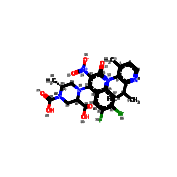 Cc1ccnc(C(C)C)c1-n1c(=O)c([N+](=O)[O-])c(N2C[C@@H](C)N(C(=O)O)CC2C(=O)O)c2cc(F)c(Br)cc21